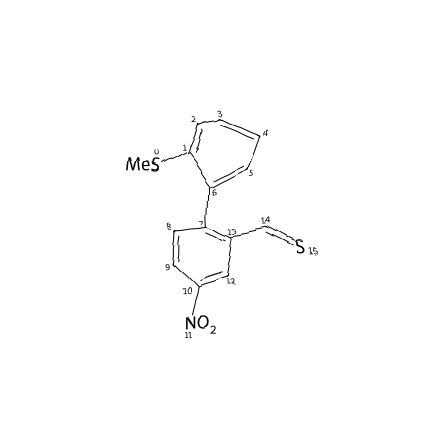 CSc1ccccc1-c1ccc([N+](=O)[O-])cc1C=S